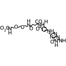 Nc1nc2ncc(CNc3ccc(C(=O)NC(CCC(=O)NCCOCCOCCNC(=O)O)C(=O)O)cc3)nc2c(=O)[nH]1